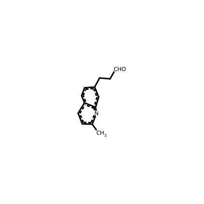 Cc1ccc2ccc(CCC=O)cc2n1